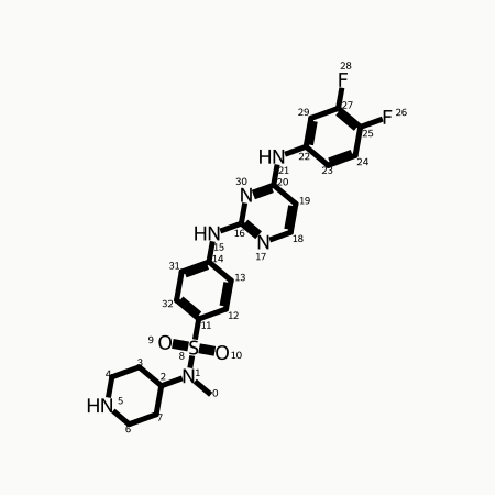 CN(C1CCNCC1)S(=O)(=O)c1ccc(Nc2nccc(Nc3ccc(F)c(F)c3)n2)cc1